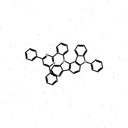 c1ccc(-c2cc(-c3ccccc3)nc(-c3ccccc3-n3c4ccccc4c4ccc5c(c6ccccc6n5-c5ccccc5)c43)n2)cc1